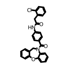 O=C(Cc1ccccc1Cl)Nc1ccc(C(=O)N2Cc3ccccc3Oc3ccccc32)cc1